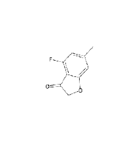 Cc1cc(F)c2c(c1)OCC2=O